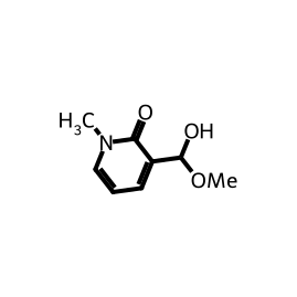 COC(O)c1cccn(C)c1=O